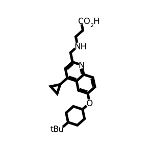 CC(C)(C)C1CCC(Oc2ccc3nc(CNCCC(=O)O)cc(C4CC4)c3c2)CC1